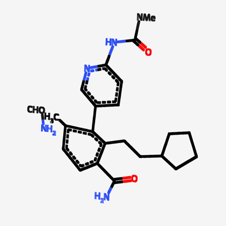 CNC(=O)Nc1ccc(-c2c(C)ccc(C(N)=O)c2CCC2CCCC2)cn1.NC=O